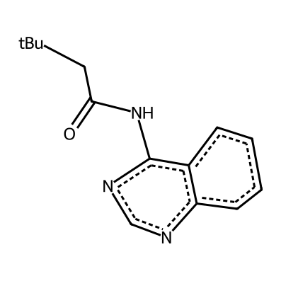 CC(C)(C)CC(=O)Nc1ncnc2ccccc12